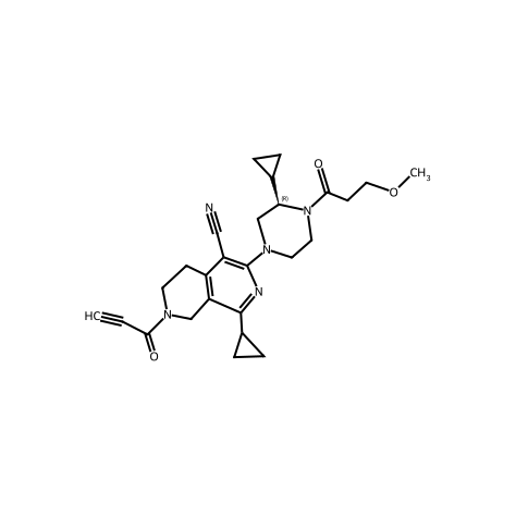 C#CC(=O)N1CCc2c(C#N)c(N3CCN(C(=O)CCOC)[C@H](C4CC4)C3)nc(C3CC3)c2C1